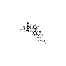 CC(=O)N(CCCN)c1ccc(NC(=C2C(=O)Nc3cc(Cl)ccc32)c2ccccc2)cc1